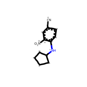 N#Cc1ccc(NC2CCCC2)c([N+](=O)[O-])c1